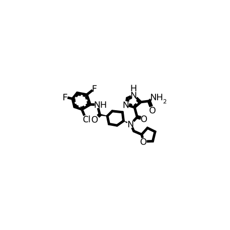 NC(=O)c1[nH]cnc1C(=O)N(CC1CCCO1)[C@H]1CC[C@H](C(=O)Nc2c(F)cc(F)cc2Cl)CC1